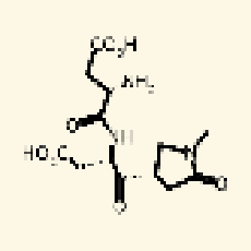 CN1C[C@@H](C(=O)[C@H](CC(=O)O)NC(=O)[C@@H](N)CC(=O)O)CC1=O